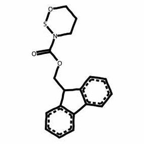 O=C(OCC1c2ccccc2-c2ccccc21)N1CCCOS1